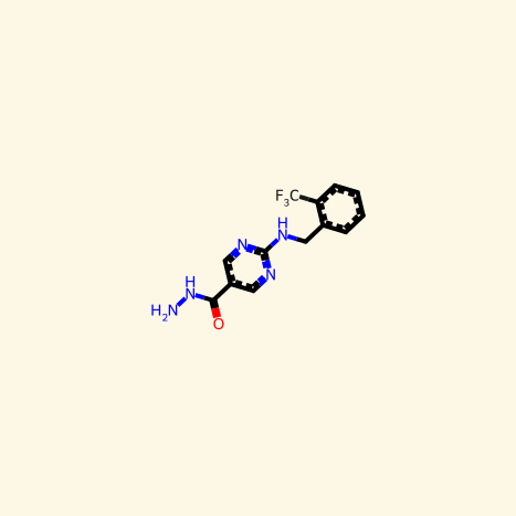 NNC(=O)c1cnc(NCc2ccccc2C(F)(F)F)nc1